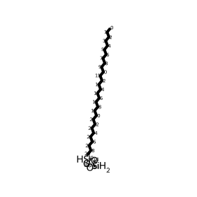 CCCCCCCCCCCCCCCCCCCCCCCCCCCCCC[SiH]1OO[SiH2]O1